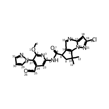 COc1nc(NC(=O)C2CC(C)(C)c3c2cnc2cc(Cl)nn32)cc(C=O)c1-n1cccn1